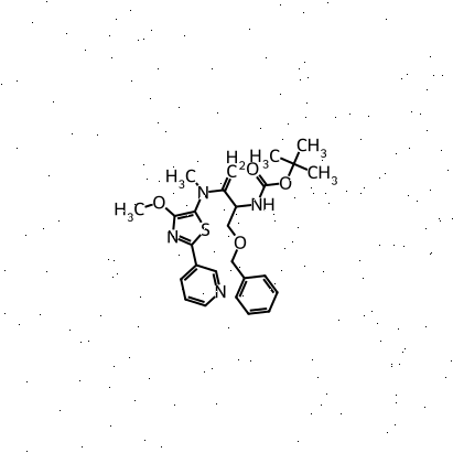 C=C(C(COCc1ccccc1)NC(=O)OC(C)(C)C)N(C)c1sc(-c2cccnc2)nc1OC